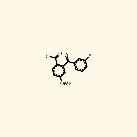 COc1ccc(C(=O)Cl)c(C(=O)c2cccc(F)c2)c1